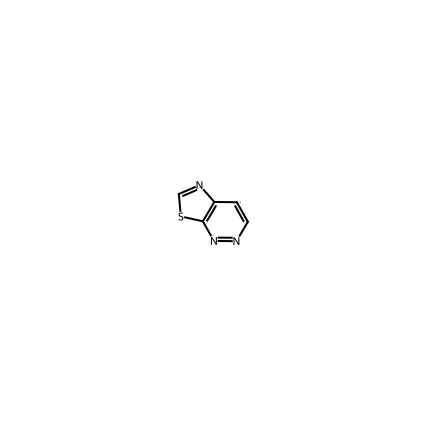 [c]1cnnc2scnc12